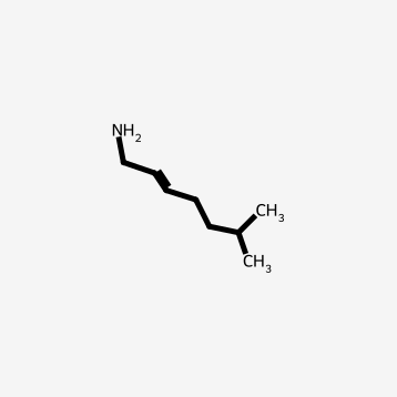 CC(C)CC/C=C/CN